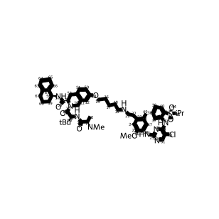 CN[C@@H](C)C(=O)N[C@H](C(=O)N1Cc2cc(OCCCCCNCCc3cc(OC)c(Nc4ncc(Cl)c(Nc5ccccc5S(=O)(=O)C(C)C)n4)cc3C)ccc2C[C@H]1C(=O)N[C@H]1CCCc2ccccc21)C(C)(C)C